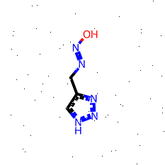 ON=NCc1c[nH]nn1